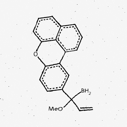 BC(C=C)(OC)c1ccc2c(c1)-c1cccc3cccc(c13)O2